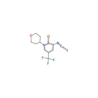 O=c1c(N=C=S)cc(C(F)(F)F)cn1C1CCOCC1